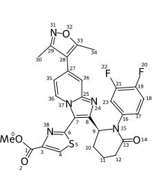 COC(=O)c1csc(-c2c([C@@H]3CCCC(=O)N3c3ccc(F)c(F)c3)nc3cc(-c4c(C)noc4C)ccn23)n1